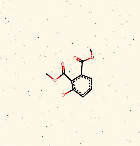 COC(=O)c1cccc([O])c1C(=O)OC